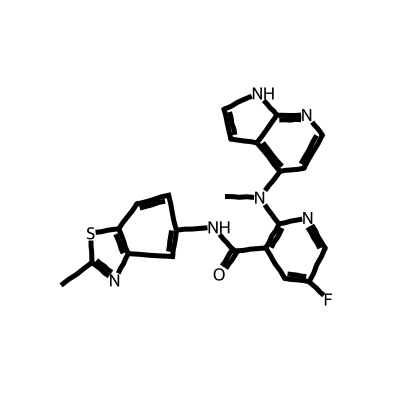 Cc1nc2cc(NC(=O)c3cc(F)cnc3N(C)c3ccnc4[nH]ccc34)ccc2s1